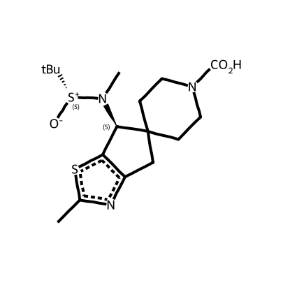 Cc1nc2c(s1)[C@@H](N(C)[S@+]([O-])C(C)(C)C)C1(CCN(C(=O)O)CC1)C2